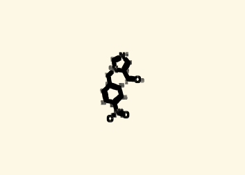 O=Cc1cncn1Cc1ccc([N+](=O)[O-])cc1